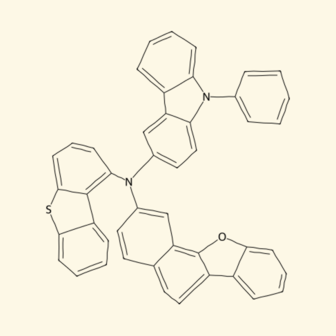 c1ccc(-n2c3ccccc3c3cc(N(c4ccc5ccc6c7ccccc7oc6c5c4)c4cccc5sc6ccccc6c45)ccc32)cc1